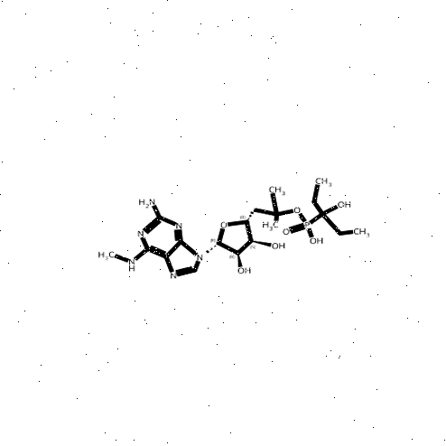 CCC(O)(CC)P(=O)(O)OC(C)(C)C[C@H]1O[C@@H](n2cnc3c(NC)nc(N)nc32)[C@H](O)[C@@H]1O